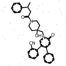 CC(CC(=O)N1CCC(O)(Cn2cc(-c3ccccc3C#N)c(-c3ccccc3)cc2=O)CC1)c1ccccc1